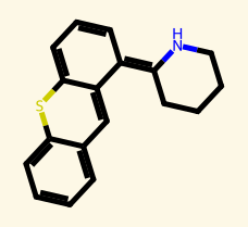 C1=c2c(cccc2=C2CCCCN2)Sc2ccccc21